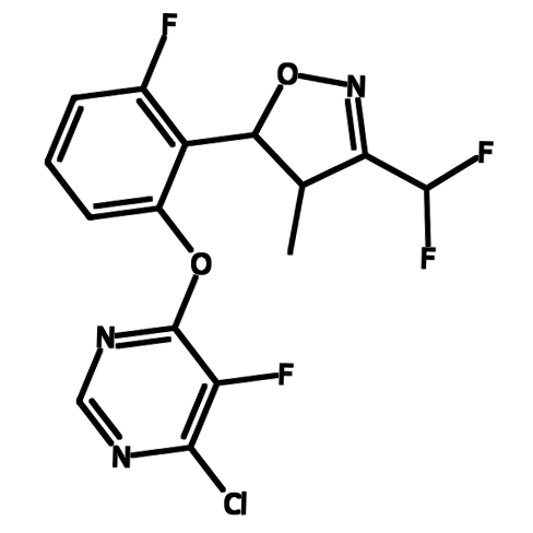 CC1C(C(F)F)=NOC1c1c(F)cccc1Oc1ncnc(Cl)c1F